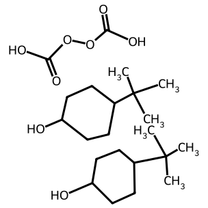 CC(C)(C)C1CCC(O)CC1.CC(C)(C)C1CCC(O)CC1.O=C(O)OOC(=O)O